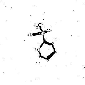 CS(=O)(=O)C1=CC=CCO1